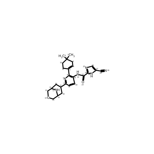 CC1(C)CC=C(c2nc(C3CC4COCC(C3)N4)ccc2NC(=O)c2ncc(C#N)[nH]2)CC1